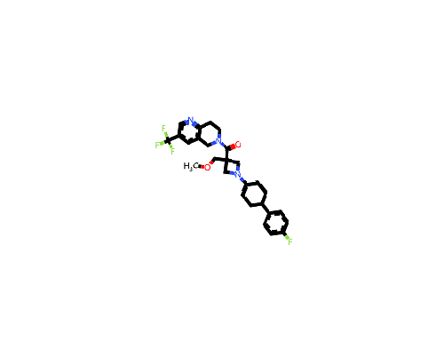 COCC1(C(=O)N2CCc3ncc(C(F)(F)F)cc3C2)CN(C2CCC(c3ccc(F)cc3)CC2)C1